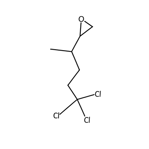 CC(CCC(Cl)(Cl)Cl)C1CO1